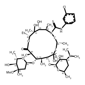 CC[C@H]1OC(=O)[C@H](C)[C@@H](O[C@H]2C[C@@](C)(OC)[C@@H](O)[C@H](C)O2)[C@H](C)[C@@H](O[C@@H]2O[C@H](C)C[C@H](N(C)C)[C@H]2O)[C@](C)(O)C[C@@H](C)CN(C(=S)Nc2cccc(Cl)c2)[C@H](C)[C@@H](O)[C@]1(C)O